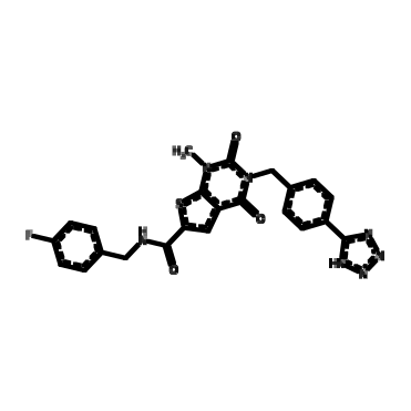 Cn1c(=O)n(Cc2ccc(-c3nnn[nH]3)cc2)c(=O)c2cc(C(=O)NCc3ccc(F)cc3)sc21